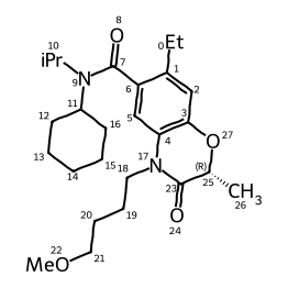 CCc1cc2c(cc1C(=O)N(C(C)C)C1CCCCC1)N(CCCCOC)C(=O)[C@@H](C)O2